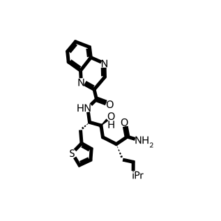 CC(C)CC[C@H](C[C@H](O)[C@H](Cc1cccs1)NC(=O)c1cnc2ccccc2n1)C(N)=O